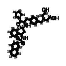 O=C(CC(NS(=O)(=O)c1ccc2ccccc2c1)c1ccccc1)NC(Cc1ccc(CN(CCO)CCO)cc1)C(=O)N1CCCC1